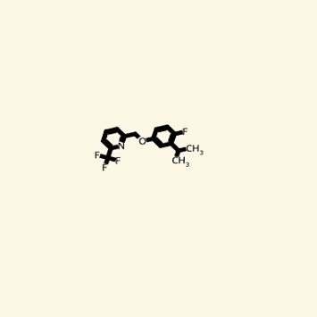 CC(C)c1cc(OCc2cccc(C(F)(F)F)n2)ccc1F